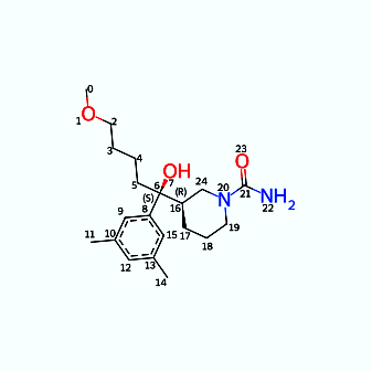 COCCCC[C@@](O)(c1cc(C)cc(C)c1)[C@@H]1CCCN(C(N)=O)C1